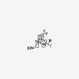 CC(C)/C=C(\C#N)C(=O)N1CCC[C@@H]1Cn1c(NC(=O)c2ccc(C(F)F)s2)nc2cc(CNCC3CC3)ccc21